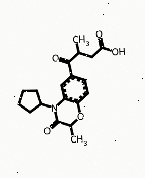 CC(CC(=O)O)C(=O)c1ccc2c(c1)N(C1CCCC1)C(=O)C(C)O2